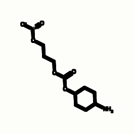 NC1CCC(OC(=O)OCCCO[N+](=O)[O-])CC1